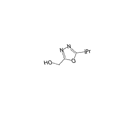 CC(C)c1nnc(CO)o1